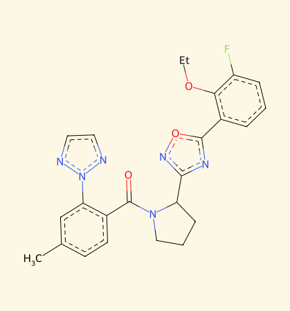 CCOc1c(F)cccc1-c1nc(C2CCCN2C(=O)c2ccc(C)cc2-n2nccn2)no1